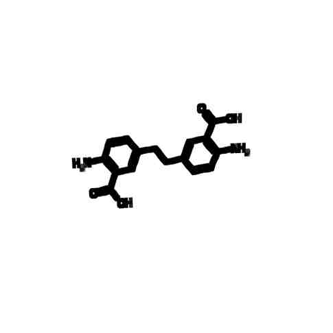 Nc1ccc(CCc2ccc(N)c(C(=O)O)c2)cc1C(=O)O